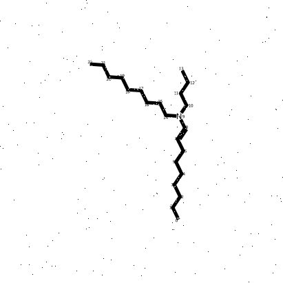 CCCCCCC/C=C/N(CCCC)CCCCCCCCC